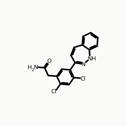 NC(=O)Cc1cc(C2=NNc3ccccc3C=C2)c(Cl)cc1Cl